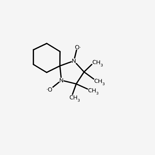 CC1(C)N([O])C2(CCCCC2)N([O])C1(C)C